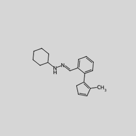 CC1=C(c2ccccc2C=NNC2CCCCC2)CC=C1